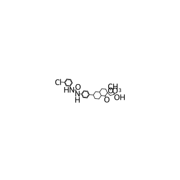 COC1(CC(=O)O)CCC2CC(c3ccc(NC(=O)Nc4cccc(Cl)c4)cc3)CCC2C1=O